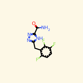 NC(=O)c1nnc(Cc2c(F)ccc(F)c2F)[nH]1